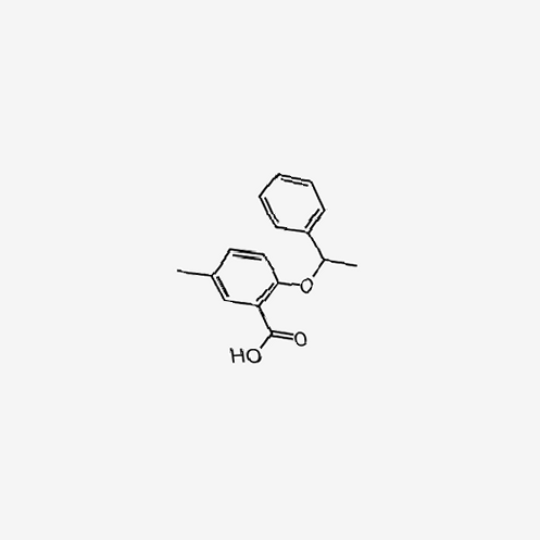 Cc1ccc(OC(C)c2ccccc2)c(C(=O)O)c1